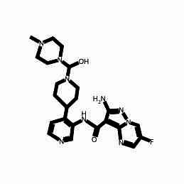 CN1CCN(C(O)N2CCC(c3ccncc3NC(=O)c3c(N)nn4cc(F)cnc34)CC2)CC1